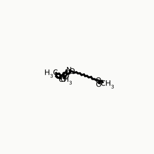 CCC(=O)OCCCCCCCCCCCCCOc1cc2oc(=O)c(-c3cc(C)ccc3C)cc2cn1